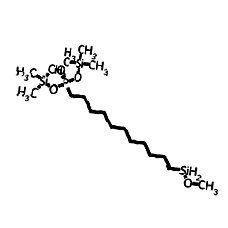 CO[SiH2]CCCCCCCCCCCP(=O)(O[Si](C)(C)C)O[Si](C)(C)C